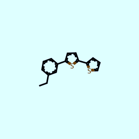 CCc1cccc(-c2ccc(-c3cccs3)s2)c1